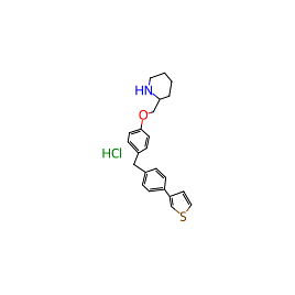 Cl.c1cc(-c2ccc(Cc3ccc(OCC4CCCCN4)cc3)cc2)cs1